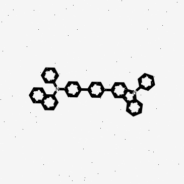 c1ccc(N(c2ccc(-c3ccc(-c4ccc5c(c4)c4ccccc4n5-c4ccccc4)cc3)cc2)c2cccc3ccccc23)cc1